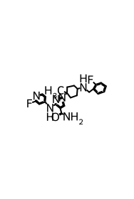 CC1(n2cc(C(N)=O)c(Nc3ccnc(F)c3)n2)CCC(NCc2ccccc2F)CC1